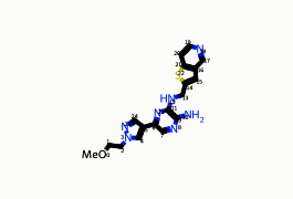 COCCn1cc(-c2cnc(N)c(NCc3cc4cnccc4s3)n2)cn1